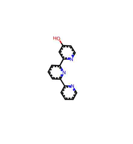 Oc1ccnc(-c2cccc(-c3ccccn3)n2)c1